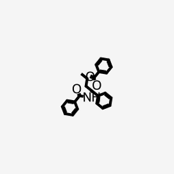 CCCC(NC(=O)c1ccccc1)(OC(=O)c1ccccc1)c1ccccc1